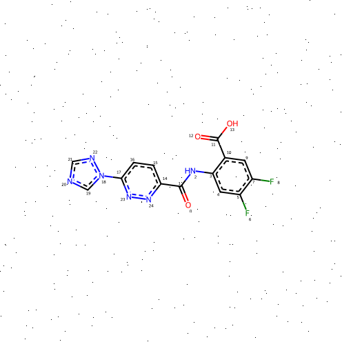 O=C(Nc1cc(F)c(F)cc1C(=O)O)c1ccc(-n2cncn2)nn1